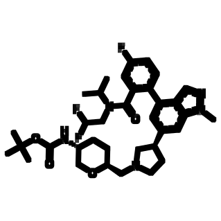 CC(C)N(CC(F)F)C(=O)c1cc(F)ccc1-c1cc([C@H]2CCN(C[C@@H]3CC[C@@H](NC(=O)OC(C)(C)C)CO3)C2)cc2c1cnn2C